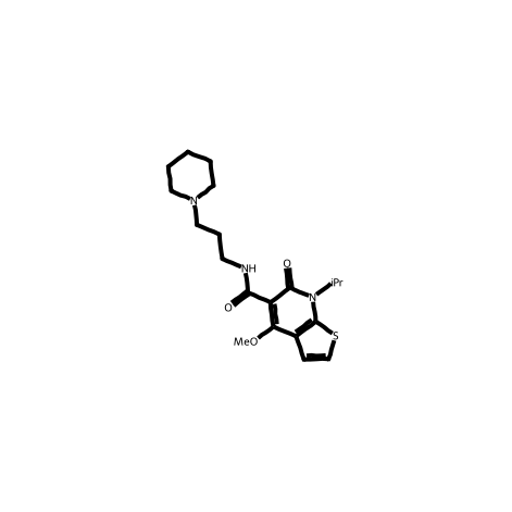 COc1c(C(=O)NCCCN2CCCCC2)c(=O)n(C(C)C)c2sccc12